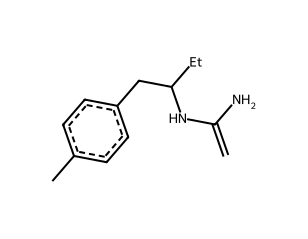 C=C(N)NC(CC)Cc1ccc(C)cc1